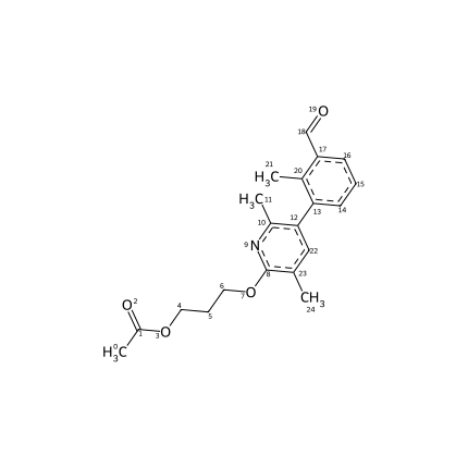 CC(=O)OCCCOc1nc(C)c(-c2cccc(C=O)c2C)cc1C